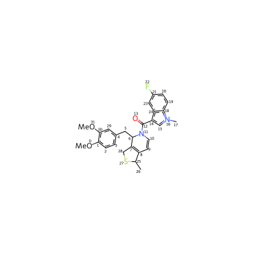 COc1ccc(CC2C3=C(C=CN2C(=O)c2cn(C)c4ccc(F)cc24)C(C)SC3)cc1OC